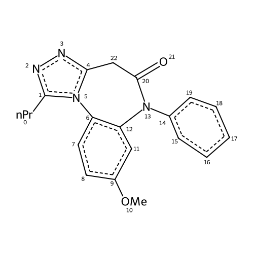 CCCc1nnc2n1-c1ccc(OC)cc1N(c1ccccc1)C(=O)C2